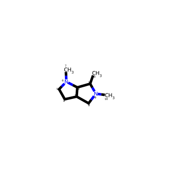 CC1C2C(CCN2C)CN1C